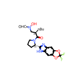 CCCC[C@H](CN(O)C=O)C(=O)N1CCC[C@H]1c1nc2cc3c(cc2[nH]1)OC(F)(F)O3